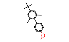 COc1ccc(-c2c(C)cc(C(C)(C)C)cc2C)cc1